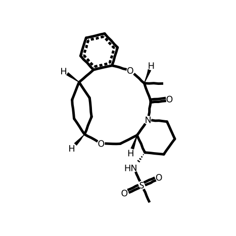 C[C@H]1Oc2ccccc2[C@H]2CC[C@H](CC2)OC[C@H]2[C@@H](NS(C)(=O)=O)CCCN2C1=O